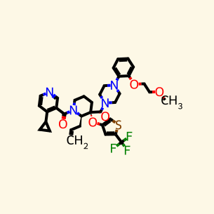 C=CC[C@H]1N(C(=O)c2cnccc2C2CC2)CCC[C@@]1(Oc1csc(C(F)(F)F)c1)C(=O)N1CCN(c2ccccc2OCCOC)CC1